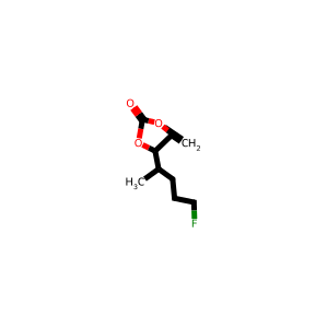 C=C1OC(=O)OC1C(C)CCCF